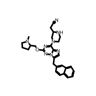 CN1CCCC1COc1nc(N2CCNC(CC#N)C2)c2ncc(Cc3ccc4ccccc4c3)n2n1